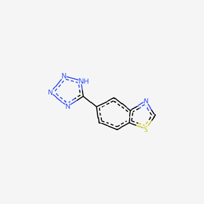 c1nc2cc(-c3nnn[nH]3)ccc2s1